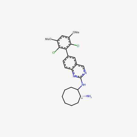 COc1cc(OC)c(Cl)c(-c2ccc3nc(NC4CCCCCC[C@H]4N)ncc3c2)c1Cl